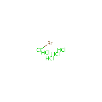 Cl.Cl.Cl.Cl.ClBr